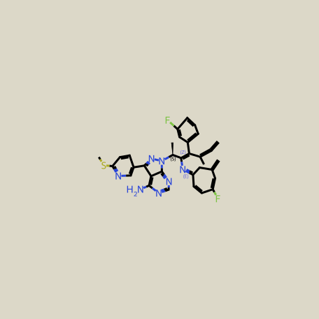 C=C=C(C)/C(=C(\N=C1\C=CC(F)=CC(=C)C1)[C@H](C)n1nc(-c2ccc(SC)nc2)c2c(N)ncnc21)c1cccc(F)c1